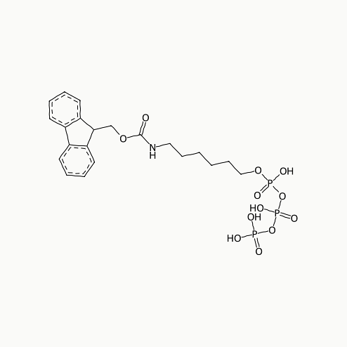 O=C(NCCCCCCOP(=O)(O)OP(=O)(O)OP(=O)(O)O)OCC1c2ccccc2-c2ccccc21